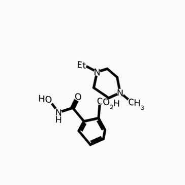 CCN1CCN(C)CC1.O=C(O)c1ccccc1C(=O)NO